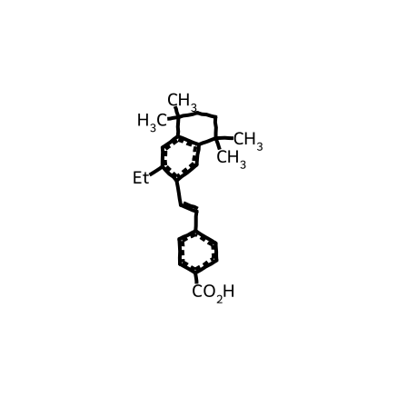 CCc1cc2c(cc1C=Cc1ccc(C(=O)O)cc1)C(C)(C)CCC2(C)C